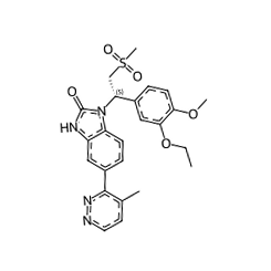 CCOc1cc([C@@H](CS(C)(=O)=O)n2c(=O)[nH]c3cc(-c4nnccc4C)ccc32)ccc1OC